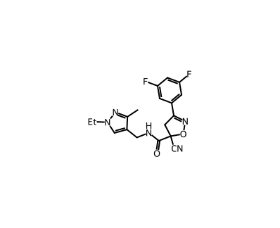 CCn1cc(CNC(=O)C2(C#N)CC(c3cc(F)cc(F)c3)=NO2)c(C)n1